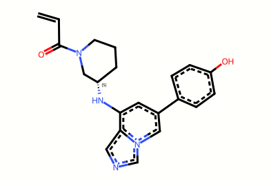 C=CC(=O)N1CCC[C@H](Nc2cc(-c3ccc(O)cc3)cn3cncc23)C1